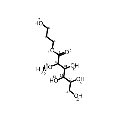 N.O=C(OCCCO)C(O)C(O)C(O)C(O)CO